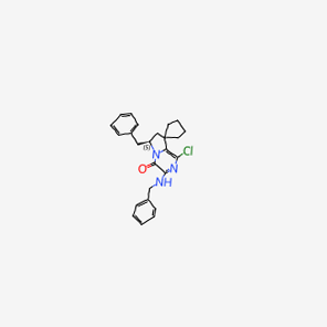 O=c1c(NCc2ccccc2)nc(Cl)c2n1[C@@H](Cc1ccccc1)CC21CCCC1